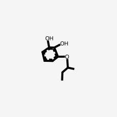 CCC(C)Oc1cccc(O)c1O